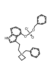 O=P([O-])(OCc1ccccc1)Oc1cccc2[nH]cc(CC[N+]3(Cc4ccccc4)CCC3)c12